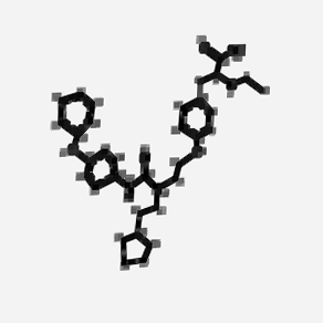 CCOC(Cc1ccc(OCCN(CCC2CCCC2)C(=O)Nc2ccc(Oc3ccccc3)cc2)cc1)C(=O)O